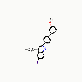 CCOc1cccc(-c2ccc(-c3cc(C(=O)O)c4cc(I)ccc4n3)cc2)c1